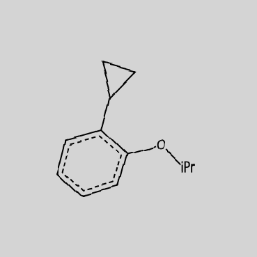 CC(C)Oc1ccccc1C1CC1